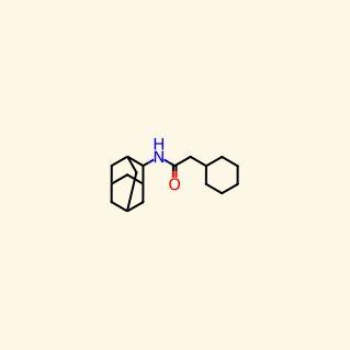 O=C(CC1CCCCC1)NC1C2CC3CC(C2)CC1C3